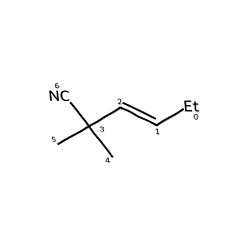 CCC=CC(C)(C)C#N